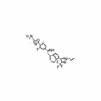 C=CCn1cc(-c2ccc3cc2C=CC=C3CC(=N)c2cc(C)c(C(=O)N[C@H](C)CN)c(F)c2)c(C(F)(F)F)n1